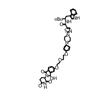 CCCCC(Cc1c[nH]c2ccccc12)NC(=O)c1cnc(N2CCN(c3ccc(OCCOCCOc4ccc5c(c4)C(O)N(C4CCC(=O)NC4=O)C5=O)cc3)CC2)s1